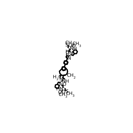 C=C1/C=C(/c2c[nH]c([C@@H]3CC4CCCCC4N3C(=O)[C@H](CCSC)NC(=O)OC)n2)C(=C)CCc2ccc(c(-c3ccc(-c4c[nH]c([C@@H]5CC6CCCCC6N5C(=O)[C@H](CCSC)NC(=O)OC)n4)cc3)c2)CC1